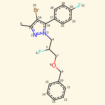 Cc1nn(CC(F)COCc2ccccc2)c(-c2ccc(F)cc2)c1Br